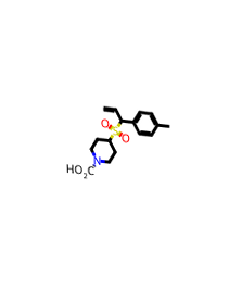 C=CC(c1ccc(C)cc1)S(=O)(=O)C1CCN(C(=O)O)CC1